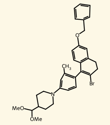 COC(OC)C1CCN(c2ccc(C3=C(Br)CCc4cc(OCc5ccccc5)ccc43)c(C)c2)CC1